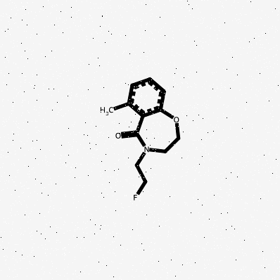 Cc1cccc2c1C(=O)N(CCF)CCO2